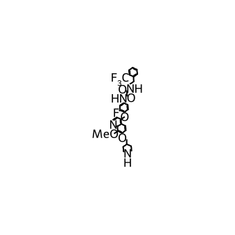 COc1c(OCC2CCNCC2)ccc2c(Oc3ccc(NC(=O)C(=O)NCCc4ccccc4C(F)(F)F)cc3F)ccnc12